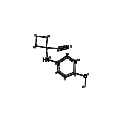 COc1ccc(NC2(C#N)CCC2)cn1